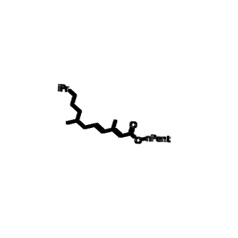 CCCCCOC(=O)/C=C(C)/C=C/CC(C)CCCC(C)C